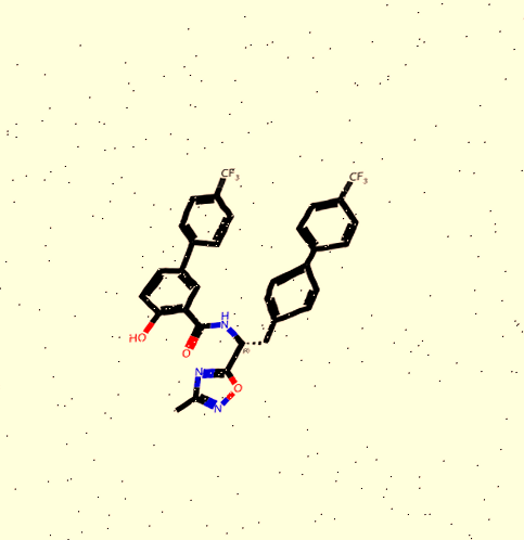 Cc1noc([C@@H](Cc2ccc(-c3ccc(C(F)(F)F)cc3)cc2)NC(=O)c2cc(-c3ccc(C(F)(F)F)cc3)ccc2O)n1